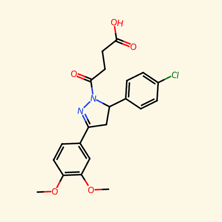 COc1ccc(C2=NN(C(=O)CCC(=O)O)C(c3ccc(Cl)cc3)C2)cc1OC